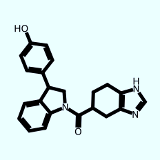 O=C(C1CCc2[nH]cnc2C1)N1CC(c2ccc(O)cc2)c2ccccc21